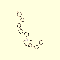 C=C1/C=C(c2cccc(-c3ccc4sc5ccc(-c6cccc(-c7ccncc7)c6)cc5c4c3)c2)\C=C/CSc2ccc(-c3cccc(-c4ccncc4)c3)cc21